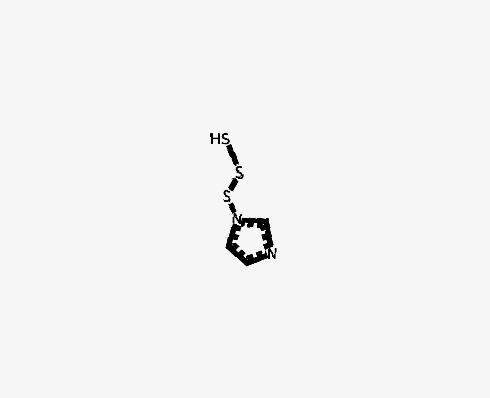 SSSn1ccnc1